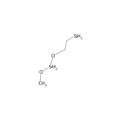 CO[SiH2]OCC[SiH3]